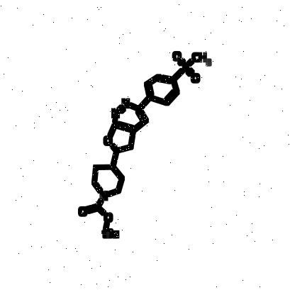 CC(C)(C)OC(=O)N1CCC(C2Cc3cc(-c4ccc(S(C)(=O)=O)cc4)nnc3O2)CC1